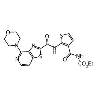 CCOC(=O)NC(=O)c1ccsc1NC(=O)c1nc2c(N3CCOCC3)nccc2s1